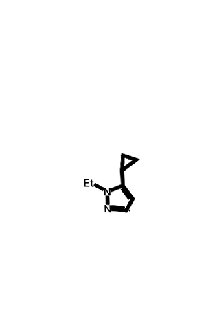 CCn1n[c]cc1C1CC1